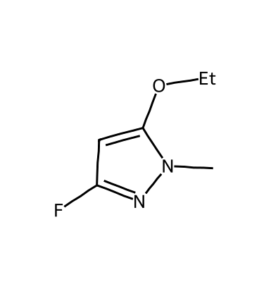 CCOc1cc(F)nn1C